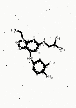 CCn1nnc2c(Nc3ccc(N)c(Cl)c3)nc(NCC(C)O)nc21